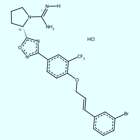 Cl.[H]/N=C(\N)N1CCC[C@H]1c1nc(-c2ccc(OCC=Cc3cccc(Br)c3)c(C(F)(F)F)c2)no1